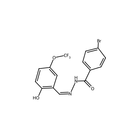 O=C(N/N=C\c1cc(OC(F)(F)F)ccc1O)c1ccc(Br)cc1